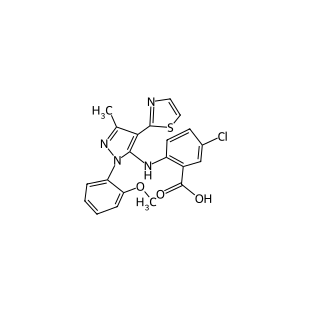 COc1ccccc1-n1nc(C)c(-c2nccs2)c1Nc1ccc(Cl)cc1C(=O)O